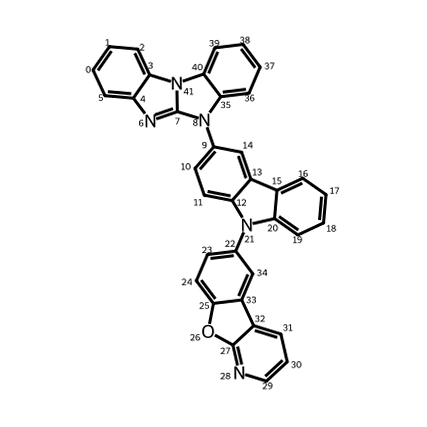 c1ccc2c(c1)nc1n(-c3ccc4c(c3)c3ccccc3n4-c3ccc4oc5ncccc5c4c3)c3ccccc3n21